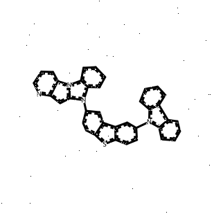 c1ccc2c(c1)c1ccccc1n2-c1ccc2sc3ccc(-n4c5ccccc5n5c6cccnc6cc45)cc3c2c1